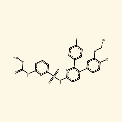 Cc1ccc(-c2nc(NS(=O)(=O)c3cccc(NC(=O)OC(C)(C)C)n3)ccc2-c2ccc(Cl)c(OCC(C)(C)C)c2)cc1